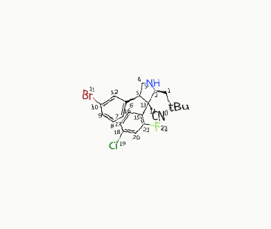 CC(C)(C)C[C@@H]1NC[C@H](c2cccc(Br)c2)[C@@]1(C#N)c1ccc(Cl)cc1F